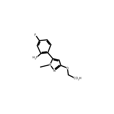 Cn1nc(OCC(=O)O)cc1-c1ccc(F)cc1P